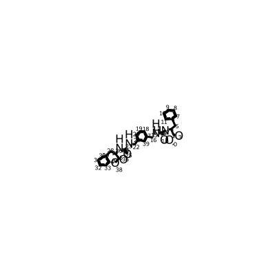 COC(=O)C(Cc1ccccc1)NC(=O)NCc1cccc(CNC(=O)NC(Cc2ccccc2)C(=O)OC)c1